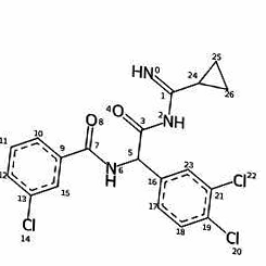 N=C(NC(=O)C(NC(=O)c1cccc(Cl)c1)c1ccc(Cl)c(Cl)c1)C1CC1